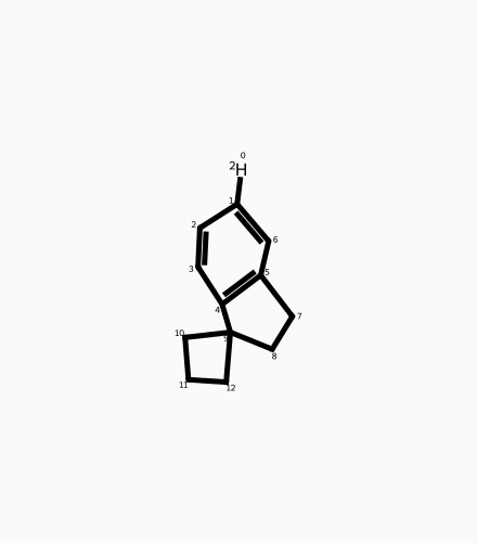 [2H]c1ccc2c(c1)CCC21CCC1